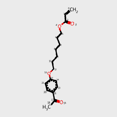 C=CC(=O)OCCCCCCCOc1ccc(C(C)=O)cc1